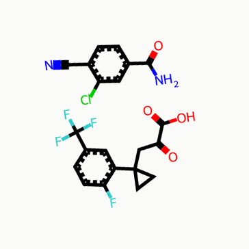 N#Cc1ccc(C(N)=O)cc1Cl.O=C(O)C(=O)CC1(c2cc(C(F)(F)F)ccc2F)CC1